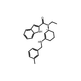 CCN(C(=O)c1cc2ccccc2[nH]1)[C@@H]1C=C(NCc2cccc(C)c2)CCC1